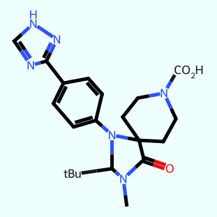 CN1C(=O)C2(CCN(C(=O)O)CC2)N(c2ccc(-c3nc[nH]n3)cc2)C1C(C)(C)C